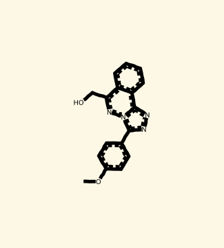 COc1ccc(-c2nnc3c4ccccc4c(CO)nn23)cc1